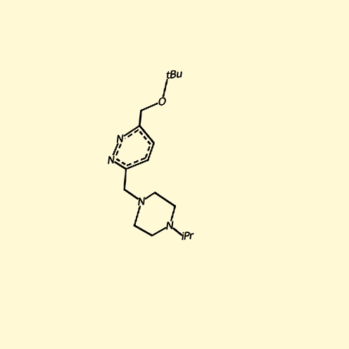 CC(C)N1CCN(Cc2ccc(COC(C)(C)C)nn2)CC1